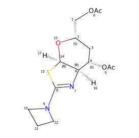 CC(=O)OC[C@@H]1C[C@H](OC(C)=O)[C@H]2N=C(N3CCC3)S[C@H]2O1